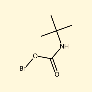 CC(C)(C)NC(=O)OBr